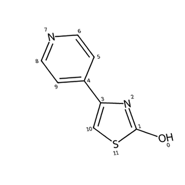 Oc1nc(-c2ccncc2)cs1